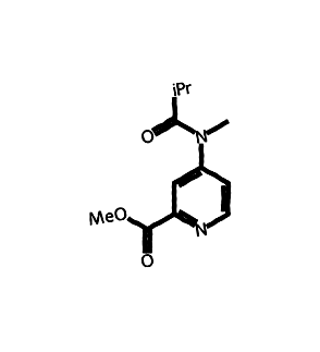 COC(=O)c1cc(N(C)C(=O)C(C)C)ccn1